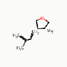 C1CCOC1.C=CC(=C)C.[Mg]